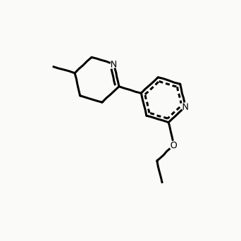 CCOc1cc(C2=NCC(C)CC2)ccn1